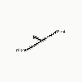 CCCCCC=CCC=CCCCCCCCCC(CCCCCCCCC=CCC=CCCCCC)CCCCCN(C)C